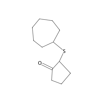 O=C1CCCC1SC1CCCCCC1